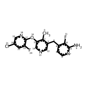 Cc1c(Cc2ccnc(N)c2F)cncc1Oc1ncc(Cl)cc1F